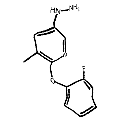 Cc1cc(NN)cnc1Oc1ccccc1F